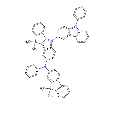 CC1(C)c2ccccc2-c2ccc(N(c3ccccc3)c3ccc4c(c3)c3c(n4-c4ccc5c(c4)c4ccccc4n5-c4ccccc4)-c4ccccc4C3(C)C)cc21